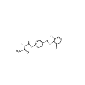 C[C@H](NCc1ccc(OCc2c(F)cccc2F)cc1)C(N)=O